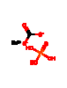 O=C([O-])[O-].O=P(O)(O)O.[Ba+2]